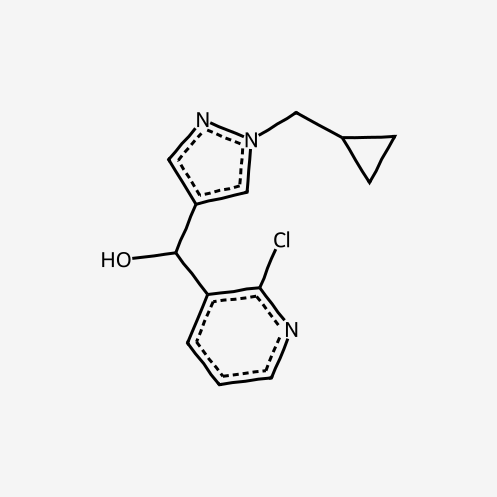 OC(c1cnn(CC2CC2)c1)c1cccnc1Cl